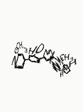 COc1cc(-c2ccc(-c3ccc(N(C)[C@@H]4C[C@H]5C=C[C@@H]([C@@H]4F)N5C)nn3)c(O)c2)ccn1